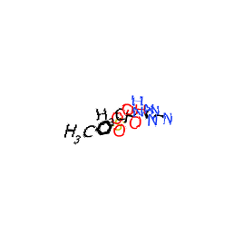 Cc1ccc(S(=O)(=O)C[C@](C)(O)C(=O)Nc2cnc(C#N)nn2)cc1